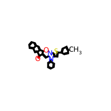 Cc1ccc(-c2cc3c(nc(C=C4C(=O)c5cc6ccccc6cc5C4=O)n3-c3ccccc3)s2)cc1